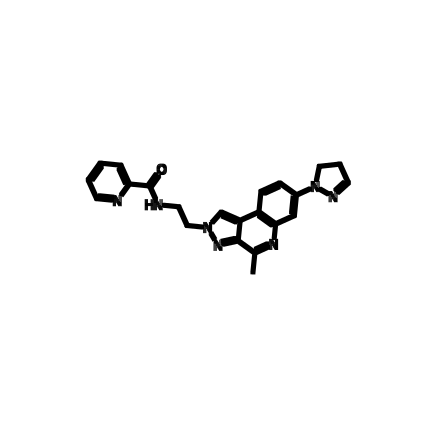 Cc1nc2cc(N3CCC=N3)ccc2c2cn(CCNC(=O)c3ccccn3)nc12